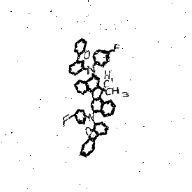 CC1(C)c2cc(N(c3ccc(F)cc3)c3cccc4c3oc3ccccc34)c3ccccc3c2-c2cc(N(c3ccc(F)cc3)c3cccc4c3oc3ccccc34)c3ccccc3c21